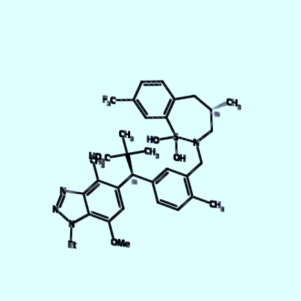 CCn1nnc2c(C)c([C@H](c3ccc(C)c(CN4C[C@@H](C)Cc5ccc(C(F)(F)F)cc5S4(O)O)c3)C(C)(C)C(=O)O)cc(OC)c21